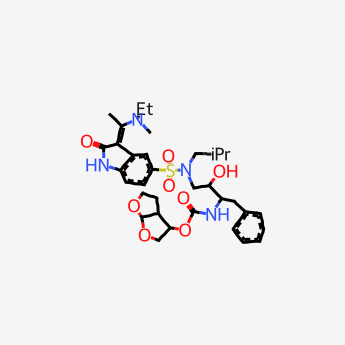 CCN(C)C(C)=C1C(=O)Nc2ccc(S(=O)(=O)N(CC(C)C)CC(O)C(Cc3ccccc3)NC(=O)OC3COC4OCCC34)cc21